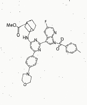 COC(=O)C1C2CCC(CC2)C1Nc1cc(-c2ccc(N3CCOCC3)cc2)nc(-c2cn(S(=O)(=O)c3ccc(C)cc3)c3ncc(F)cc23)n1